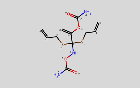 C=CCSC(NOC(N)=O)(SCC=C)C(=C)OC(N)=O